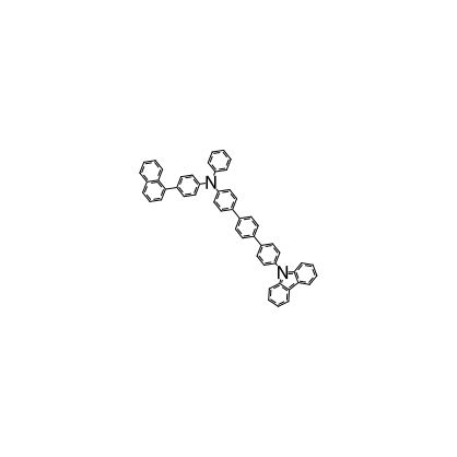 c1ccc(N(c2ccc(-c3ccc(-c4ccc(-n5c6ccccc6c6ccccc65)cc4)cc3)cc2)c2ccc(-c3cccc4ccccc34)cc2)cc1